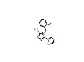 Sc1nnc(-c2ccco2)n1Cc1ccccc1Cl